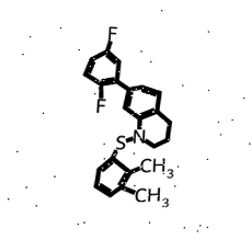 Cc1cccc(SN2CCCc3ccc(-c4cc(F)ccc4F)cc32)c1C